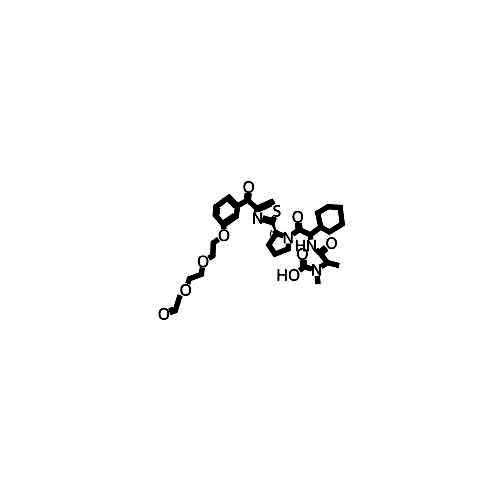 CC(C(=O)NC(C(=O)N1CCC[C@H]1c1nc(C(=O)c2cccc(OCCOCCOCC=O)c2)cs1)C1CCCCC1)N(C)C(=O)O